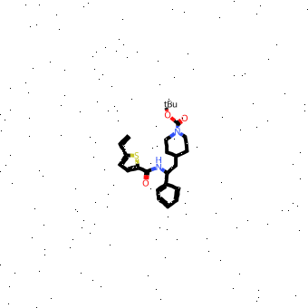 C=Cc1ccc(C(=O)NC(CC2CCN(C(=O)OC(C)(C)C)CC2)c2ccccc2)s1